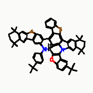 CC(C)(C)c1ccc(Nc2cc3c(cc2-c2c4c5c(c6cc7c(cc6n5-c5c(oc6ccc(C(C)(C)C)cc56)B4)C(C)(C)CCC7(C)C)c4sc5ccccc5c24)sc2cc4c(cc23)C(C)(C)CCC4(C)C)cc1